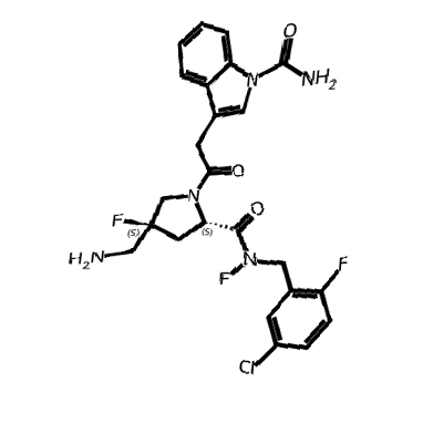 NC[C@@]1(F)C[C@@H](C(=O)N(F)Cc2cc(Cl)ccc2F)N(C(=O)Cc2cn(C(N)=O)c3ccccc23)C1